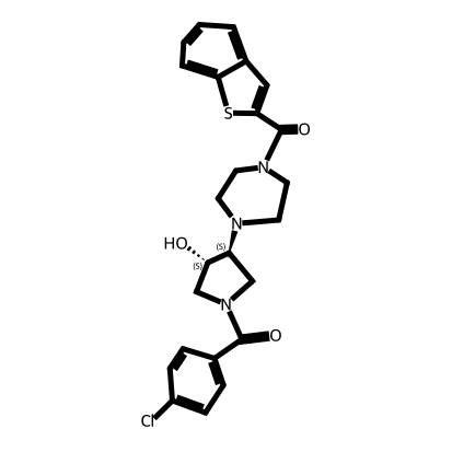 O=C(c1ccc(Cl)cc1)N1C[C@H](O)[C@@H](N2CCN(C(=O)c3cc4ccccc4s3)CC2)C1